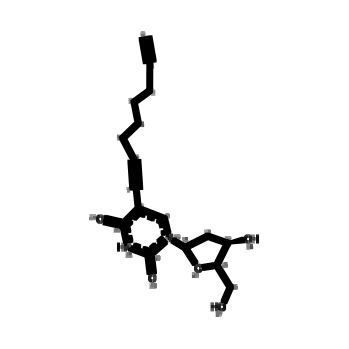 C#CCCCCC#Cc1cn(C2C[C@@H](O)C(CO)O2)c(=O)[nH]c1=O